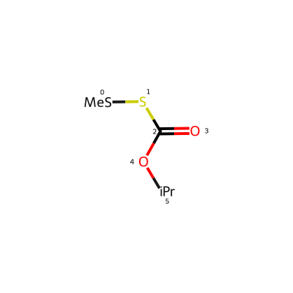 CSSC(=O)OC(C)C